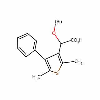 Cc1sc(C)c(C(OC(C)(C)C)C(=O)O)c1-c1ccccc1